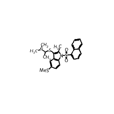 CSc1ccc2c(c1)c(SC(C)N(C)C)c(C)n2S(=O)(=O)c1cccc2ccccc12